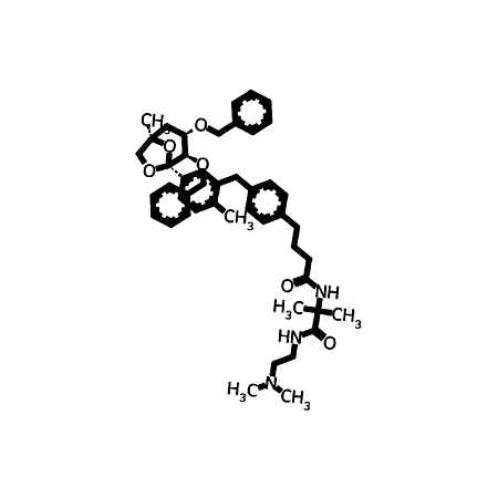 Cc1ccc([C@@]23OC[C@@](C)(C[C@H](OCc4ccccc4)[C@H]2OCc2ccccc2)O3)cc1Cc1ccc(CCCC(=O)NC(C)(C)C(=O)NCCN(C)C)cc1